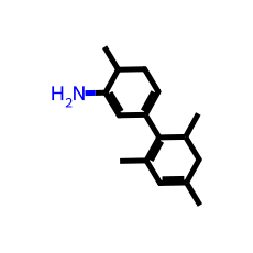 CC1=CC(C)=C(C2=CCC(C)C(N)=C2)C(C)C1